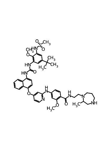 COc1cc(Nc2cc(Oc3ccc(NC(=O)Nc4cc(C(C)(C)C)cc(NS(C)(=O)=O)c4OC)c4ccccc34)ccn2)ccc1C(=O)NCCN1CCCNCC1C